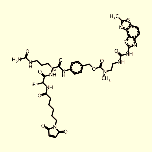 Cc1nc2c(ccc3nc(NC(=O)NCCN(C)C(=O)OCc4ccc(NC(=O)[C@H](CCCNC(N)=O)NC(=O)C(NC(=O)CCCCCN5C(=O)C=CC5=O)C(C)C)cc4)sc32)s1